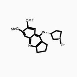 COc1cc2nc3c(c(N[C@@H]4CCN(C(C)C)C4)c2cc1OC)CCC3